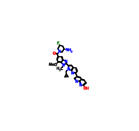 COc1cc(C(=O)N2C[C@H](N)C[C@@H](F)C2)cc2nc(-c3cc4ccc(-c5cnc6nc(O)ccc6c5)nc4n3CC3CC3)n(C)c12